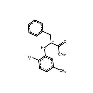 COC(=O)[C@H](Cc1ccccc1)Nc1cc(C)ccc1C